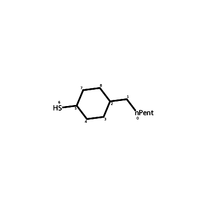 CCCCCCC1CCC(S)CC1